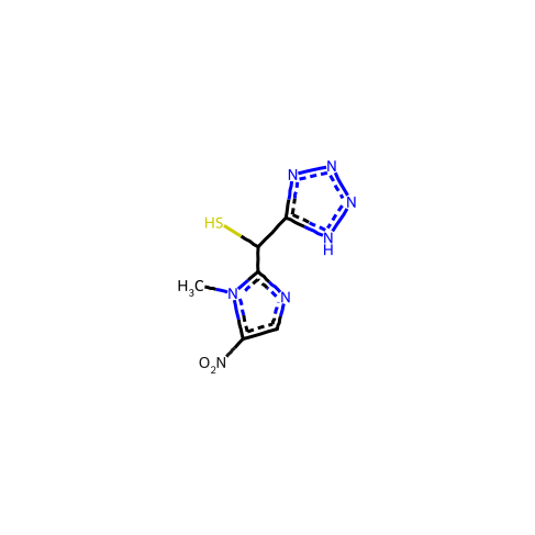 Cn1c([N+](=O)[O-])cnc1C(S)c1nnn[nH]1